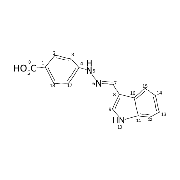 O=C(O)c1ccc(N/N=C/c2c[nH]c3ccccc23)cc1